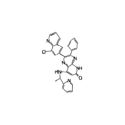 CC(Nc1cc(=O)[nH]c2nc(-c3ccccc3)c(-c3cc(Cl)c4ncccc4c3)nc12)c1ccccn1